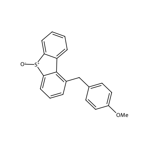 COc1ccc(Cc2cccc3c2c2ccccc2[s+]3[O-])cc1